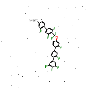 CCCCCc1ccc(-c2cc(F)c(C(F)(F)Oc3ccc(-c4ccc(-c5cc(F)c(F)c(F)c5)c(F)c4)c(F)c3)c(F)c2)c(F)c1